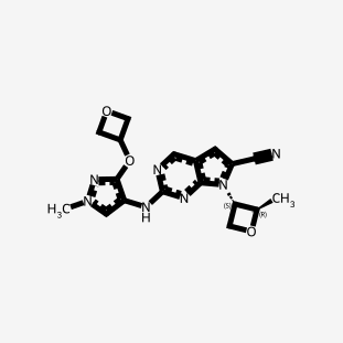 C[C@H]1OC[C@@H]1n1c(C#N)cc2cnc(Nc3cn(C)nc3OC3COC3)nc21